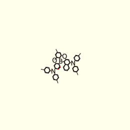 Cc1ccc(N(c2ccc(C)cc2)c2cc3c(c4ccccc24)B2c4c(cc(C)cc4Oc4cc(N(c5ccc(C)cc5)c5ccc(C)cc5)c5ccccc5c42)O3)cc1